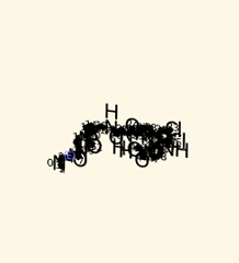 CN(C)C/C=C/C(=O)N1CCN(c2ccc(CCNC(=O)CNC(=O)Cn3ccc(-c4cc(Cl)c(Cl)c5[nH]c6c(c45)CN(C(=O)CO)CC6)n3)s2)C(=O)C1